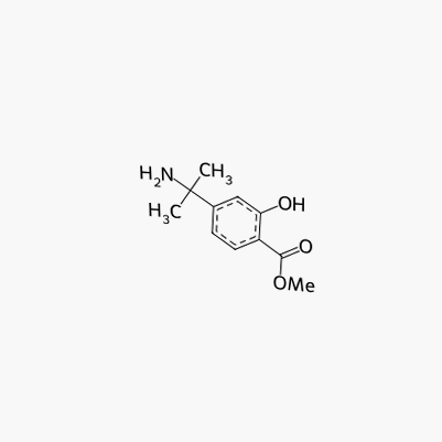 COC(=O)c1ccc(C(C)(C)N)cc1O